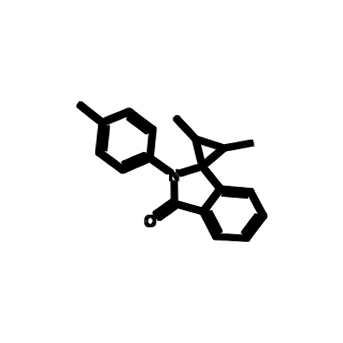 Cc1ccc(N2C(=O)c3ccccc3C23C(C)C3C)cc1